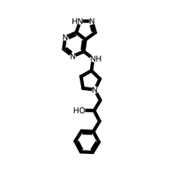 OC(Cc1ccccc1)CN1CCC(Nc2ncnc3[nH]ncc23)C1